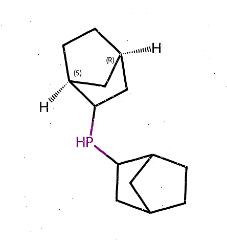 C1CC2CC1CC2PC1C[C@@H]2CC[C@H]1C2